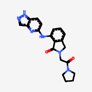 O=C(CN1Cc2cccc(Nc3ccc4[nH]ncc4n3)c2C1=O)N1CCCC1